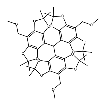 COCc1c2c(c([C](c3c4c(c(COC)c5c3OC(C)(C)O5)OC(C)(C)O4)c3c4c(c(COC)c5c3OC(C)(C)O5)OC(C)(C)O4)c3c1OC(C)(C)O3)OC(C)(C)O2